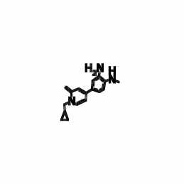 C=C1C=C(c2ccc(NC)c(N)c2)C=CN1CC1CC1